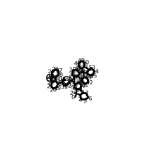 CC1(C)c2ccccc2-c2ccc(N(c3ccc(-c4cccc5oc6ccccc6c45)cc3)c3cccc4c3-c3ccccc3C43c4ccccc4-c4ccccc43)cc21